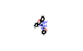 O=C1CCCC2=C1C(C1=CC=CC(F)C1)N=C(Nc1nc3ccccc3o1)N2